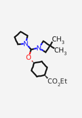 CCOC(=O)[C@H]1CC[C@H](OC(N2CCCC2)N2CC(C)(C)C2)CC1